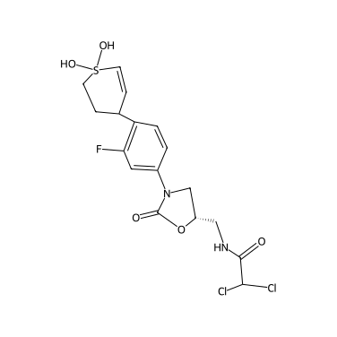 O=C(NC[C@H]1CN(c2ccc(C3C=CS(O)(O)CC3)c(F)c2)C(=O)O1)C(Cl)Cl